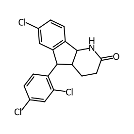 O=C1CCC2C(N1)c1ccc(Cl)cc1C2c1ccc(Cl)cc1Cl